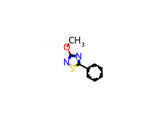 COc1nsc(-c2ccccc2)n1